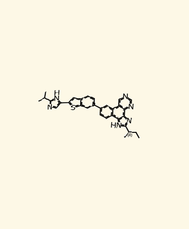 CC[C@@H](C)c1nc2c3ncncc3c3cc(-c4ccc5cc(-c6cnc(C(C)C)[nH]6)sc5c4)ccc3c2[nH]1